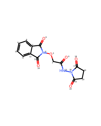 O=C(CON1C(=O)c2ccccc2C1=O)NN1C(=O)CCC1=O